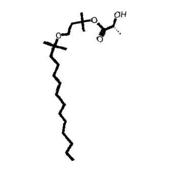 CCCCCCCCCCCCC(C)(C)OCCC(C)(C)OC(=O)[C@@H](C)O